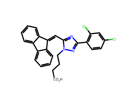 O=C(O)CCCn1nc(-c2ccc(Cl)cc2Cl)nc1C=C1c2ccccc2-c2ccccc21